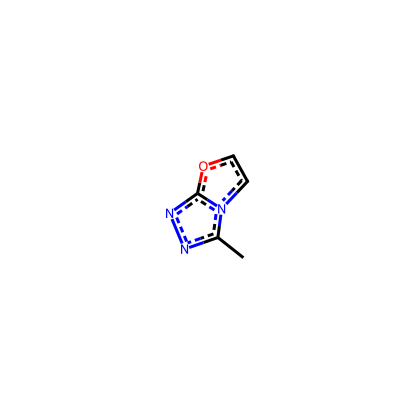 Cc1nnc2occn12